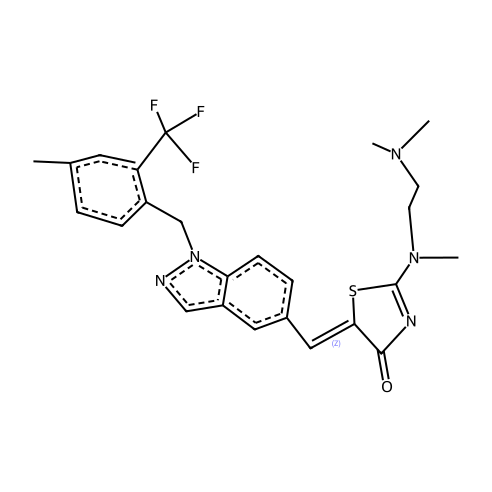 Cc1ccc(Cn2ncc3cc(/C=C4\SC(N(C)CCN(C)C)=NC4=O)ccc32)c(C(F)(F)F)c1